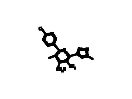 Cc1c(-c2ccc(Cl)cc2)nc(-c2cnn(C)c2)c(N)c1C(=O)O